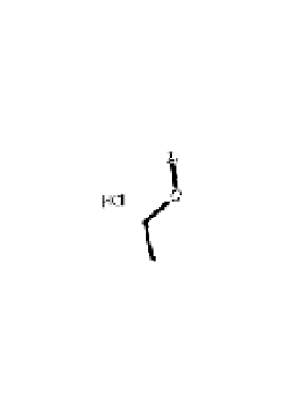 CC[O][Zr].Cl